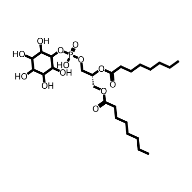 CCCCCCCC(=O)OC[C@H](COP(=O)(O)OC1C(O)C(O)C(O)C(O)C1O)OC(=O)CCCCCCC